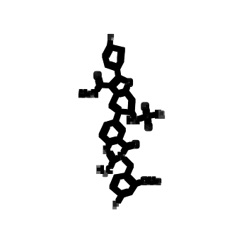 CCS(=O)(=O)Nc1cc2oc(-c3ccc(F)cc3)c(C(=O)NC)c2cc1-c1ccc2nc(C)n(Cc3ccc(F)cc3OC)c(=O)c2c1